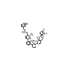 COc1nc(-c2cccc(-c3cccc(-c4ccc(CN5CC6(CCC(=O)N6)C5)c(OC)n4)c3Cl)c2Cl)ccc1CNCCc1cc[nH]n1